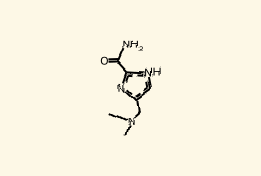 CN(C)Cc1c[nH]c(C(N)=O)n1